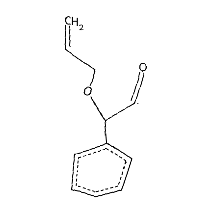 C=CCOC([C]=O)c1ccccc1